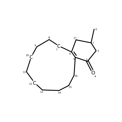 CC1CC(=O)C2=C(CCCCCCCCCC2)C1